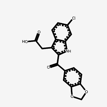 O=C(O)Cc1c(C(=O)c2ccc3c(c2)OCO3)[nH]c2cc(Cl)ccc12